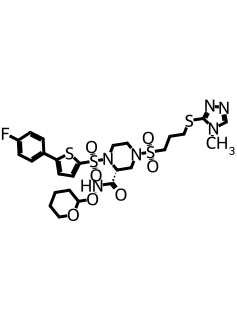 Cn1cnnc1SCCCS(=O)(=O)N1CCN(S(=O)(=O)c2ccc(-c3ccc(F)cc3)s2)[C@@H](C(=O)NOC2CCCCO2)C1